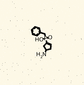 NC1CC=C(P(=O)(O)Cc2ccccc2)C1